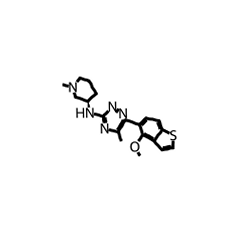 COc1c(-c2nnc(N[C@@H]3CCCN(C)C3)nc2C)ccc2sccc12